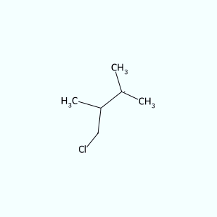 C[C](C)C(C)CCl